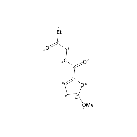 CCC(=O)COC(=O)c1ccc(OC)o1